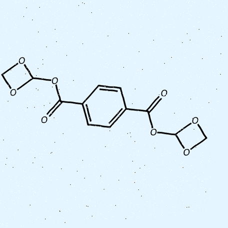 O=C(OC1OCO1)c1ccc(C(=O)OC2OCO2)cc1